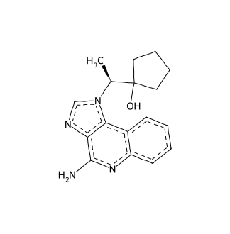 C[C@H](n1cnc2c(N)nc3ccccc3c21)C1(O)CCCC1